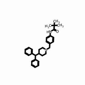 CC(C)(C)C(=O)Nc1ccc(CN2CCC(C(c3ccccc3)c3ccccc3)CC2)cc1